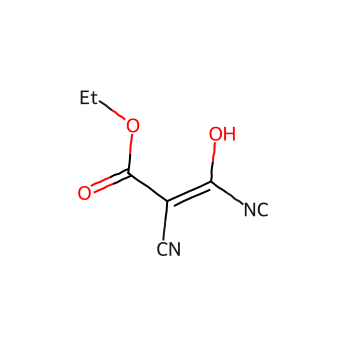 [C-]#[N+]/C(O)=C(\C#N)C(=O)OCC